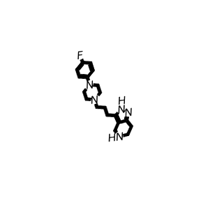 Fc1ccc(N2CCN(CCCc3[nH]nc4c3CNCC4)CC2)cc1